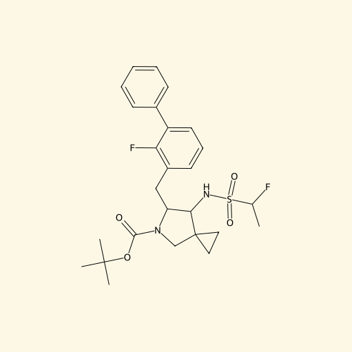 CC(F)S(=O)(=O)NC1C(Cc2cccc(-c3ccccc3)c2F)N(C(=O)OC(C)(C)C)CC12CC2